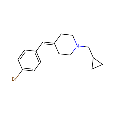 Brc1ccc(C=C2CCN(CC3CC3)CC2)cc1